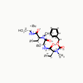 CC[C@H](C)[C@H](NC(=O)[C@H](CC(C)C)N(C)C(=O)[C@@H](NC(=O)[C@H](CC(C)C)N(C)C(=O)OCc1ccccc1)[C@@H](C)CC)C(=O)O